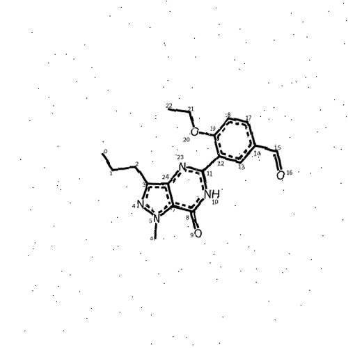 CCCc1nn(C)c2c(=O)[nH]c(-c3cc(C=O)ccc3OCC)nc12